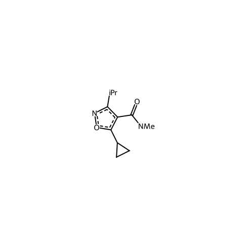 CNC(=O)c1c(C(C)C)noc1C1CC1